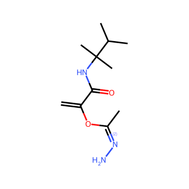 C=C(O/C(C)=N\N)C(=O)NC(C)(C)C(C)C